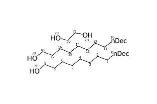 CCCCCCCCCCCCCCCCCCO.CCCCCCCCCCCCCCCCCCO.OCCO